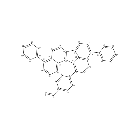 C=Cc1ccc(-c2ccc3c(-c4ccccc4)ccc4c3c2-c2c-4ccc3c(-c4ccccc4)cccc23)cc1